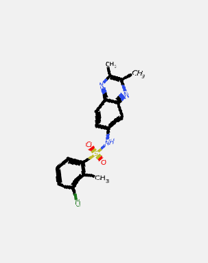 Cc1nc2ccc(NS(=O)(=O)c3cccc(Cl)c3C)cc2nc1C